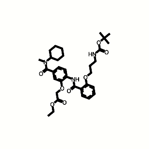 CCOC(=O)COc1cc(C(=O)N(C)C2CCCCC2)ccc1NC(=O)c1ccccc1OCCCNC(=O)OC(C)(C)C